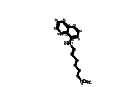 CCCCCCCCCCCCCCCCNc1cccc2cccnc12